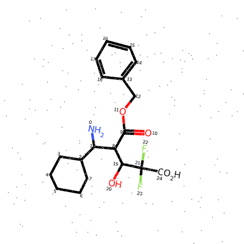 NC(C1CCCCC1)C(C(=O)OCc1ccccc1)C(O)C(F)(F)C(=O)O